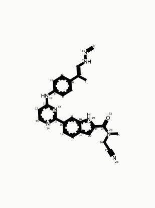 C=NN/C=C(\C)c1ccc(Nc2ccnc(-c3ccc4cc(C(=O)N(C)CC#N)[nH]c4c3)n2)cc1